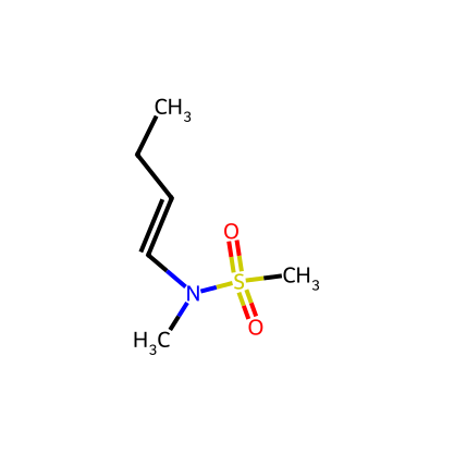 CC/C=C/N(C)S(C)(=O)=O